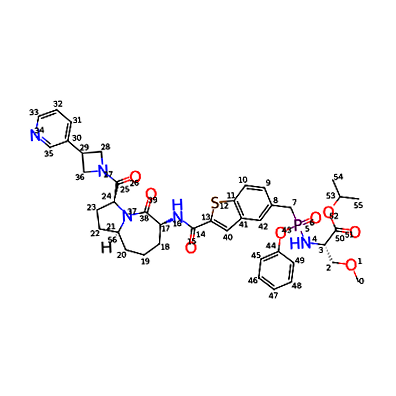 COC[C@H](NP(=O)(Cc1ccc2sc(C(=O)N[C@H]3CCC[C@H]4CC[C@@H](C(=O)N5CC(c6cccnc6)C5)N4C3=O)cc2c1)Oc1ccccc1)C(=O)OC(C)C